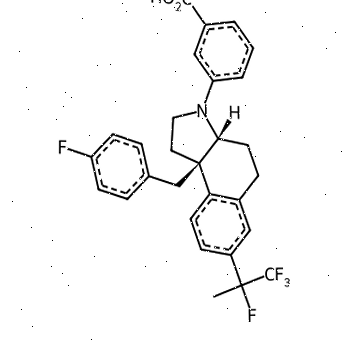 CC(F)(c1ccc2c(c1)CC[C@H]1N(c3cccc(C(=O)O)c3)CC[C@@]21Cc1ccc(F)cc1)C(F)(F)F